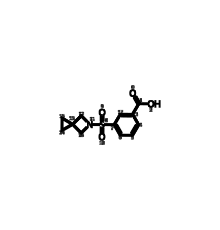 O=C(O)c1cccc(S(=O)(=O)N2CC3(CC3)C2)c1